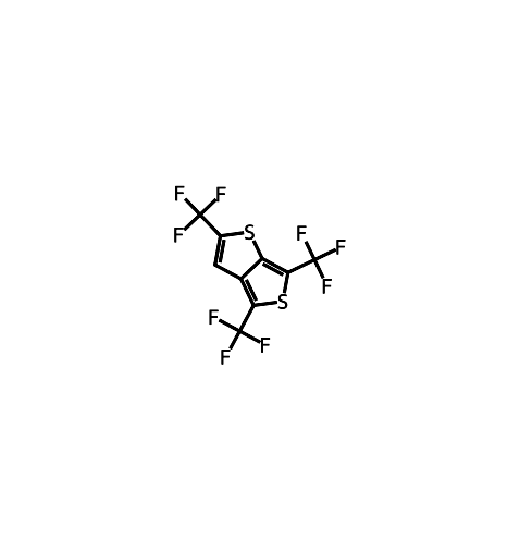 FC(F)(F)c1cc2c(C(F)(F)F)sc(C(F)(F)F)c2s1